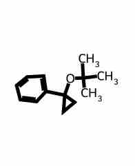 CC(C)(C)OC1(c2ccccc2)CC1